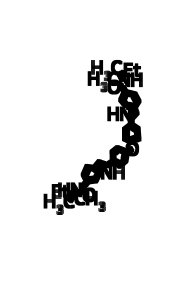 CCC(C)(C)NC(=O)c1ccc2cc(-c3ccc(Oc4ccc(-c5cc6ccc(C(=O)NC(C)(C)CC)cc6[nH]5)cc4)cc3)[nH]c2c1